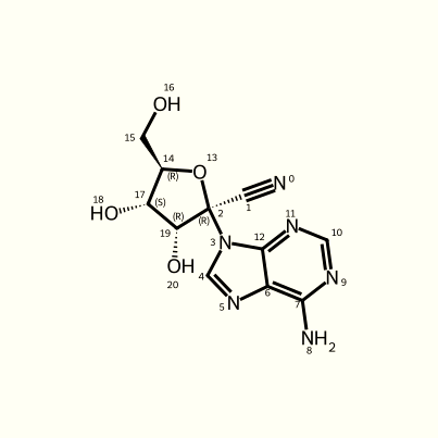 N#C[C@@]1(n2cnc3c(N)ncnc32)O[C@H](CO)[C@@H](O)[C@H]1O